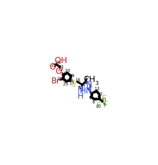 C/C(=N/Nc1ccc(C(F)(F)F)cc1)C(=N)CSc1ccc(OCC(=O)O)c(Br)c1